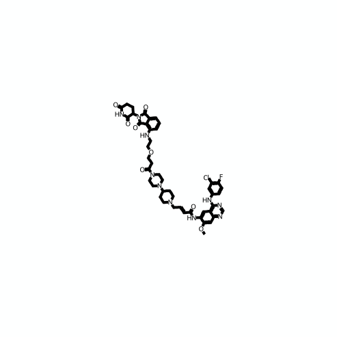 COc1cc2ncnc(Nc3ccc(F)c(Cl)c3)c2cc1NC(=O)/C=C/CN1CCC(N2CCN(C(=O)CCOCCNc3cccc4c3C(=O)N(C3CCC(=O)NC3=O)C4=O)CC2)CC1